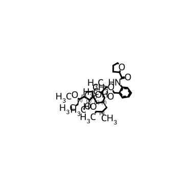 CC[C@@H](C)C[C@H](CC(C)[C@H](C)OC(=O)c1ccccc1NC(=O)C1CCCO1)[C@H](O)[C@]1(O)C(C)C[C@H]([C@@H](CC)OC)[C@@H]1OC